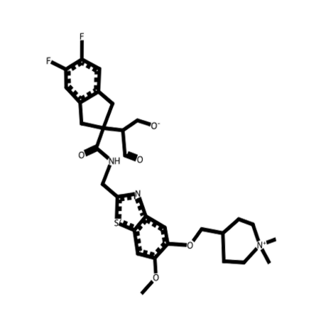 COc1cc2sc(CNC(=O)C3(C(C=O)C[O-])Cc4cc(F)c(F)cc4C3)nc2cc1OCC1CC[N+](C)(C)CC1